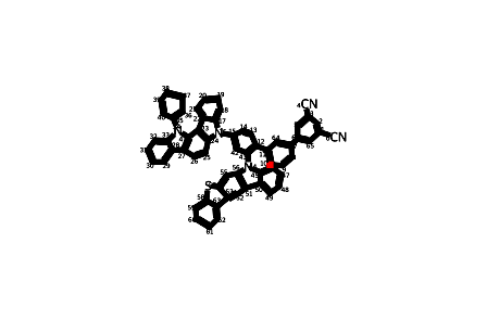 N#Cc1cc(C#N)cc(-c2cccc(-c3ccc(-n4c5ccccc5c5c4ccc4c6ccccc6n(-c6ccccc6)c45)cc3-n3c4ccccc4c4cc5c(cc43)sc3ccccc35)c2)c1